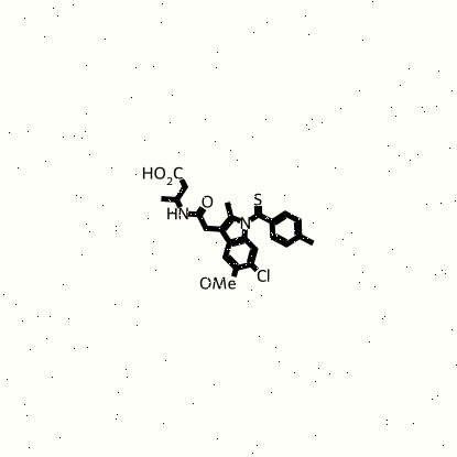 COc1cc2c(CC(=O)NC(C)CC(=O)O)c(C)n(C(=S)c3ccc(C)cc3)c2cc1Cl